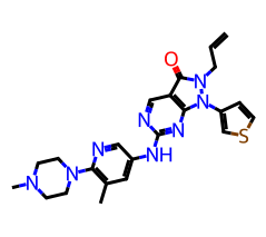 C=CCn1c(=O)c2cnc(Nc3cnc(N4CCN(C)CC4)c(C)c3)nc2n1-c1ccsc1